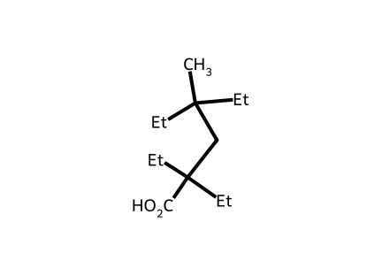 CCC(C)(CC)CC(CC)(CC)C(=O)O